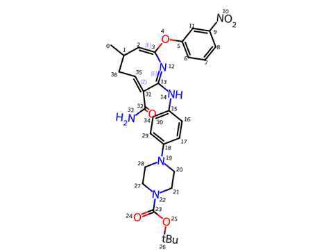 CC1\C=C(Oc2cccc([N+](=O)[O-])c2)/N=C(Nc2ccc(N3CCN(C(=O)OC(C)(C)C)CC3)cc2)\C(C(N)=O)=C\C1